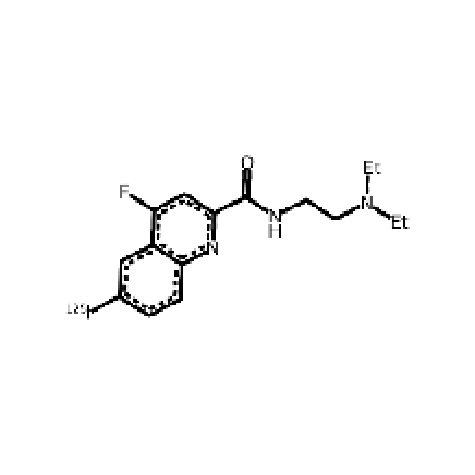 CCN(CC)CCNC(=O)c1cc(F)c2cc([125I])ccc2n1